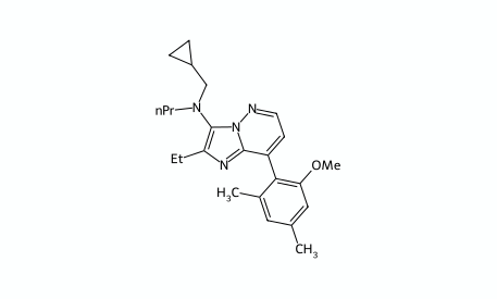 CCCN(CC1CC1)c1c(CC)nc2c(-c3c(C)cc(C)cc3OC)ccnn12